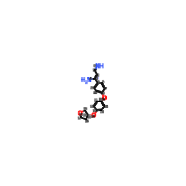 N=C/C=C(\N)c1ccc(Oc2ccc(O[C@@H]3CCOC3)cc2)cc1